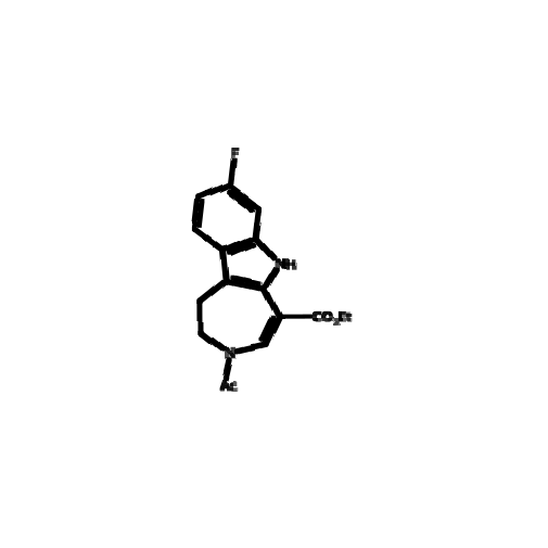 CCOC(=O)C1=CN(C(C)=O)CCc2c1[nH]c1cc(F)ccc21